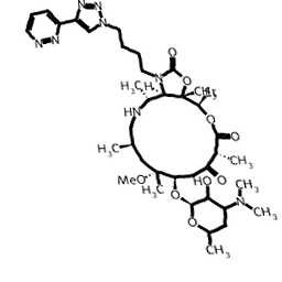 CC[C@H]1OC(=O)[C@H](C)C(=O)C[C@@H](O[C@@H]2OC(C)CC(N(C)C)C2O)[C@](C)(OC)C[C@@H](C)CN[C@H](C)[C@H]2N(CCCCn3cc(-c4cccnn4)nn3)C(=O)O[C@]12C